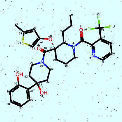 CCC[C@H]1N(C(=O)c2ncccc2C(F)(F)F)CCC[C@@]1(Oc1csc(C)c1)C(=O)N1CCC(O)(c2ccccc2O)CC1